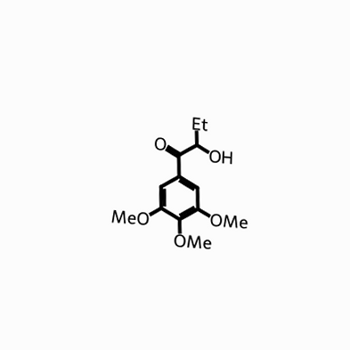 [CH2]CC(O)C(=O)c1cc(OC)c(OC)c(OC)c1